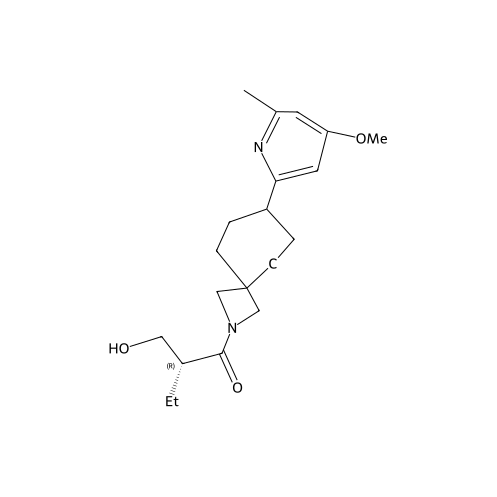 CC[C@H](CO)C(=O)N1CC2(CCC(c3cc(OC)cc(C)n3)CC2)C1